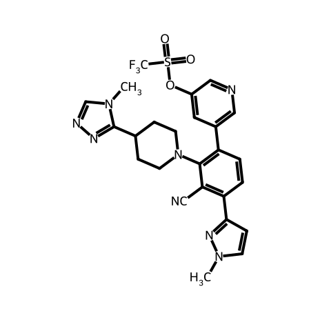 Cn1ccc(-c2ccc(-c3cncc(OS(=O)(=O)C(F)(F)F)c3)c(N3CCC(c4nncn4C)CC3)c2C#N)n1